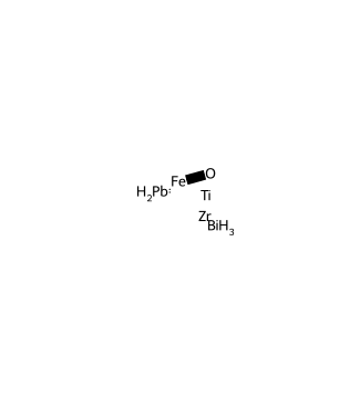 [BiH3].[O]=[Fe].[PbH2].[Ti].[Zr]